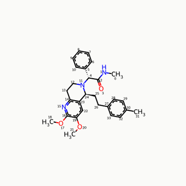 CNC(=O)[C@@H](c1ccccc1)N1CCc2nc(OC)c(OC)cc2[C@@H]1CCc1ccc(C)cc1